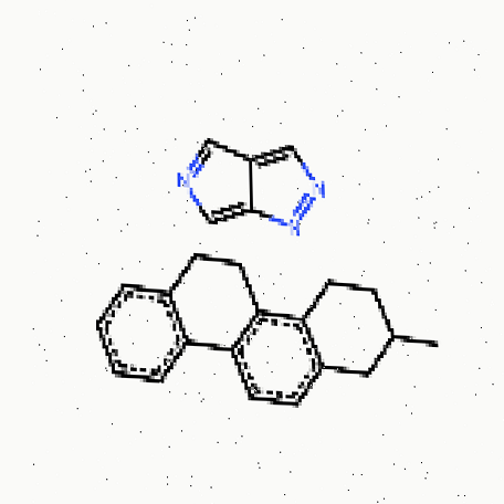 C1=NC=C2N=NC=C12.CC1CCc2c(ccc3c2CCc2ccccc2-3)C1